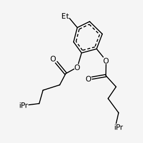 CCc1ccc(OC(=O)CCCC(C)C)c(OC(=O)CCCC(C)C)c1